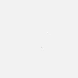 [c]1cc2c(c3c1-c1ccccc1N=3)=Nc1ccccc1-2